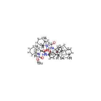 CC(C)(C)OC(=O)N1[C@H](C(=O)Nc2ccc(C3C[C@H]4CC=C3CCC3=C[C@@H](c5ccc(NC(=O)[C@@H]6C[C@@H]7CCCC[C@@H]7N6C(=O)OC(C)(C)C)cc5)C(CC3)CC4)cc2)C[C@@H]2CCCC[C@@H]21